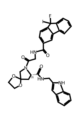 O=C(NCC(=O)N1CC2(C[C@H]1C(=O)NCc1cc3ccccc3[nH]1)OCCO2)c1ccc2c(c1)-c1ccccc1C2(F)I